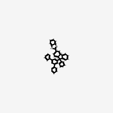 c1ccc(-c2cc(-c3ccccc3)cc(C3(c4ccccc4)c4ccccc4-c4cc(-c5nc6ccccc6s5)ccc43)c2)cc1